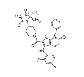 CC(C)(C)N(C(=O)O)C1CCN(C(=O)c2sc3c(ccc(=O)n3-c3ccccc3)c2Nc2ccc(F)cc2F)CC1